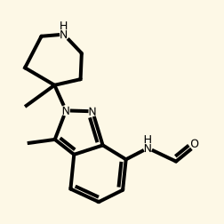 Cc1c2cccc(NC=O)c2nn1C1(C)CCNCC1